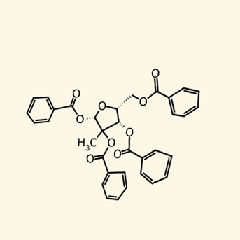 CC1(OC(=O)c2ccccc2)[C@H](OC(=O)c2ccccc2)O[C@H](COC(=O)c2ccccc2)[C@@H]1OC(=O)c1ccccc1